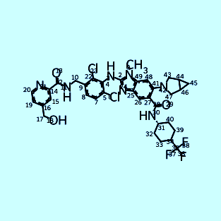 Cn1c(Nc2c(Cl)ccc(CNC(=O)c3cc(CO)ccn3)c2Cl)nc2cc(C(=O)N[C@H]3CC[C@H](C(F)(F)F)CC3)c(N3CC4CC4C3)cc21